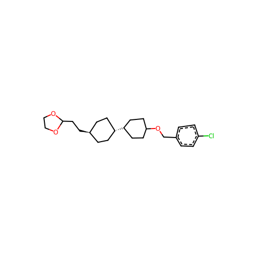 Clc1ccc(COC2CCC([C@H]3CC[C@H](CCC4OCCO4)CC3)CC2)cc1